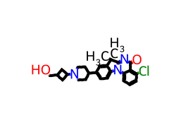 CC1(C)c2cc(C3CCN(C4CC(CO)C4)CC3)ccc2-n2c1nc(=O)c1c(Cl)cccc12